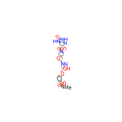 CNS(=O)(=O)c1cccc(OCC(O)CN[C@H]2COC3(CCN(S(=O)(=O)c4cnc5[nH]c(=O)[nH]c5c4)CC3)C2)c1